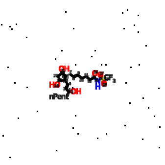 CCCCCC(O)C=C[C@@H]1[C@@H](CC=CCCCC(=O)NS(=O)(=O)C(F)(F)F)[C@@H](O)C[C@H]1O